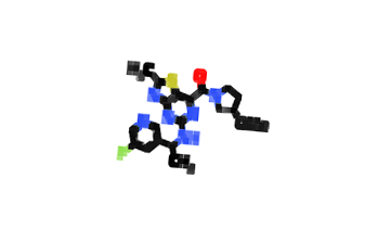 CO[C@@H]1CCN(C(=O)c2nc(NC(C)c3cncc(F)c3)nc3nc(C)sc23)C1